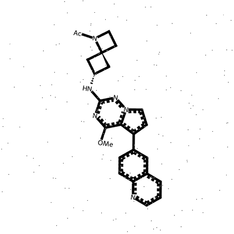 COc1nc(N[C@H]2C[C@@]3(CCN3C(C)=O)C2)nn2ccc(-c3ccc4ncccc4c3)c12